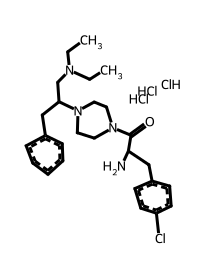 CCN(CC)CC(Cc1ccccc1)N1CCN(C(=O)C(N)Cc2ccc(Cl)cc2)CC1.Cl.Cl.Cl